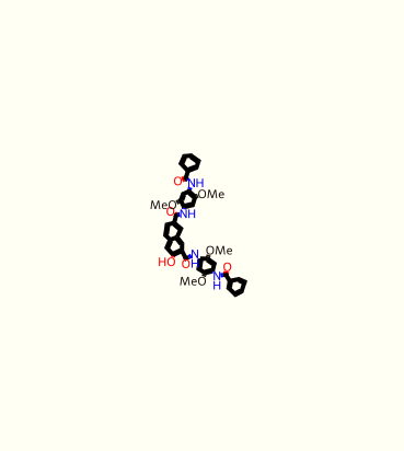 COc1cc(NC(=O)c2ccc3cc(O)c(C(=O)Nc4cc(OC)c(NC(=O)c5ccccc5)cc4OC)cc3c2)c(OC)cc1NC(=O)c1ccccc1